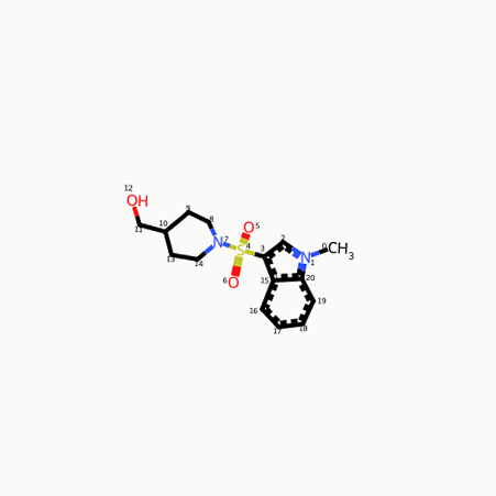 Cn1cc(S(=O)(=O)N2CCC(CO)CC2)c2ccccc21